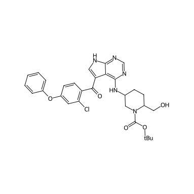 CC(C)(C)OC(=O)N1CC(Nc2ncnc3[nH]cc(C(=O)c4ccc(Oc5ccccc5)cc4Cl)c23)CCC1CO